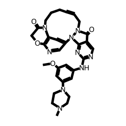 COc1cc(Nc2ncc3c(=O)n4n(c3n2)-c2cnc3c(c2)N(CCC/C=C\C4)C(=O)CO3)cc(N2CCN(C)CC2)c1